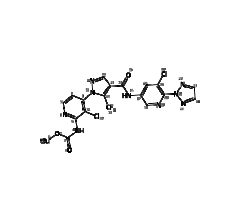 CC(C)(C)OC(=O)Nc1nccc(-n2ncc(C(=O)Nc3cnc(-n4nccn4)c(Cl)c3)c2C(F)(F)F)c1Cl